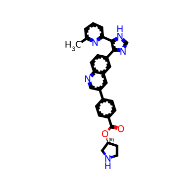 Cc1cccc(-c2[nH]cnc2-c2ccc3ncc(-c4ccc(C(=O)O[C@@H]5CCNC5)cc4)cc3c2)n1